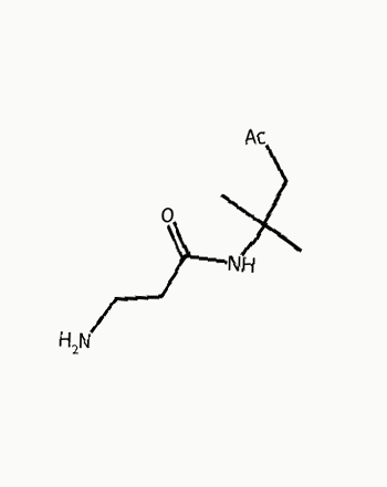 CC(=O)CC(C)(C)NC(=O)CCN